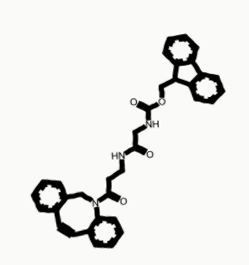 O=C(CNC(=O)OCC1c2ccccc2-c2ccccc21)NCCC(=O)N1Cc2ccccc2C#Cc2ccccc21